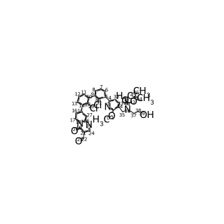 COc1nc(-c2cccc(-c3cccc(-c4ccn5c(=O)c(C=O)cnc5c4)c3Cl)c2Cl)ccc1CN(CCO)C(=O)OC(C)(C)C